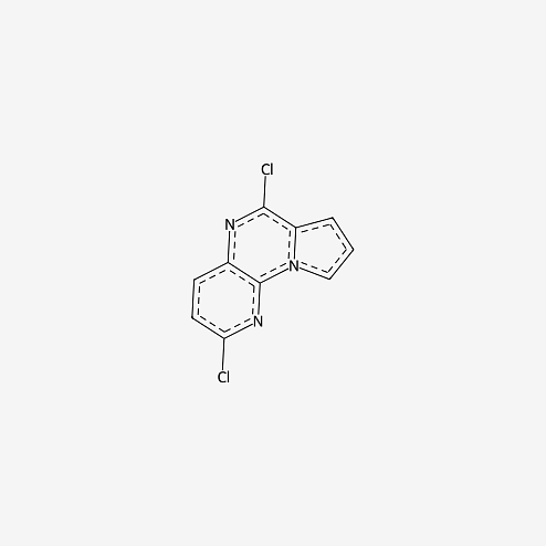 Clc1ccc2nc(Cl)c3cccn3c2n1